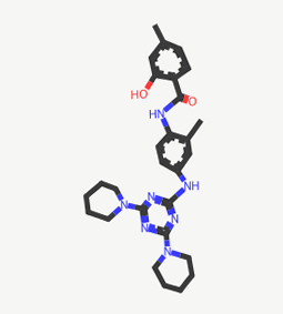 Cc1ccc(C(=O)Nc2ccc(Nc3nc(N4CCCCC4)nc(N4CCCCC4)n3)cc2C)c(O)c1